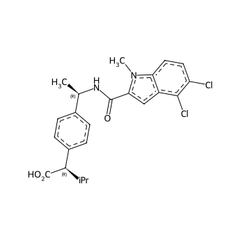 CC(C)[C@@H](C(=O)O)c1ccc([C@@H](C)NC(=O)c2cc3c(Cl)c(Cl)ccc3n2C)cc1